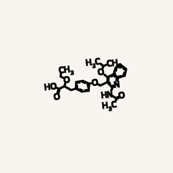 CCOC(Cc1ccc(OCc2c(NC(C)=O)nc3ccccc3c2OC(C)C)cc1)C(=O)O